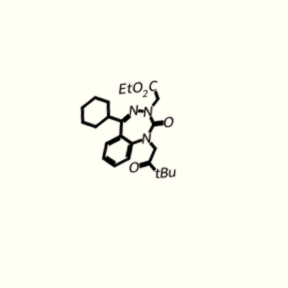 CCOC(=O)CN1N=C(C2CCCCC2)c2ccccc2N(CC(=O)C(C)(C)C)C1=O